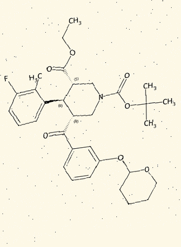 CCOC(=O)[C@@H]1CN(C(=O)OC(C)(C)C)C[C@H](C(=O)c2cccc(OC3CCCCO3)c2)[C@H]1c1cccc(F)c1C